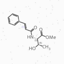 COC(=O)[C@@H](NC(=O)/C=C/c1ccccc1)[C@@H](C)O